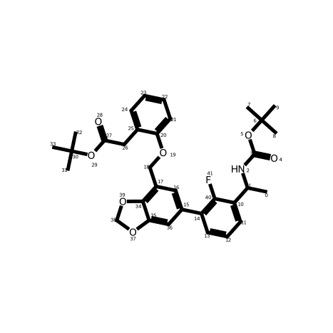 CC(NC(=O)OC(C)(C)C)c1cccc(-c2cc(COc3ccccc3CC(=O)OC(C)(C)C)c3c(c2)OCO3)c1F